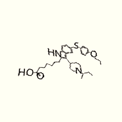 CCCOc1ccc(Sc2ccc3[nH]c(CCCCCCC(=O)O)c(C4CCN(C(C)CC)CC4)c3c2)cc1